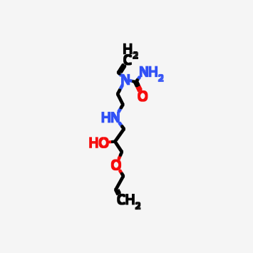 C=CCOCC(O)CNCCN(C=C)C(N)=O